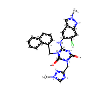 Cn1cnc(Cn2c(=O)nc(Nc3cc4cn(C)nc4cc3Cl)n(Cc3cccc4ccccc34)c2=O)n1